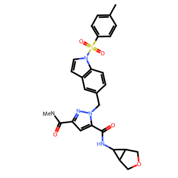 CNC(=O)c1cc(C(=O)NC2C3COCC32)n(Cc2ccc3c(ccn3S(=O)(=O)c3ccc(C)cc3)c2)n1